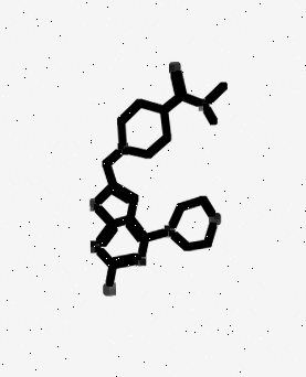 CN(C)C(=O)C1CCN(Cc2cc3c(N4CCOCC4)nc(Cl)nc3s2)CC1